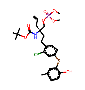 C=CC[C@](CCc1ccc(Sc2cc(C)ccc2O)cc1Cl)(COP(=O)(OC)OC)NC(=O)OC(C)(C)C